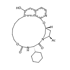 CC(=O)[C@@H]1C[C@@H]2CN1C(=O)[C@H](C1CCCCC1)NC(=O)OCCCCCc1cc3c(nccc3cc1O)O2